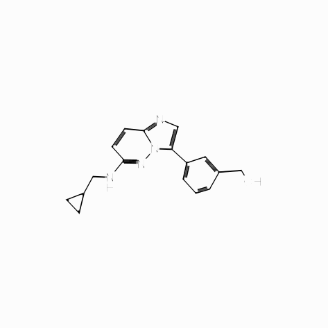 OCc1cccc(-c2cnc3ccc(NCC4CC4)nn23)c1